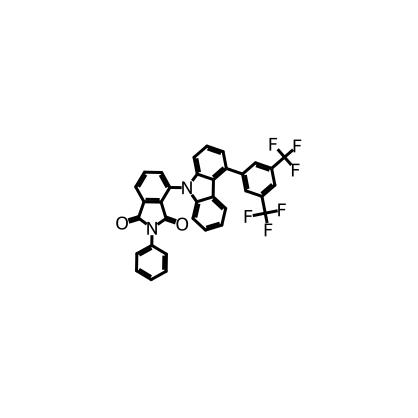 O=C1c2cccc(-n3c4ccccc4c4c(-c5cc(C(F)(F)F)cc(C(F)(F)F)c5)cccc43)c2C(=O)N1c1ccccc1